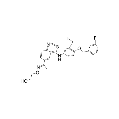 C/C(=N\OCCO)c1ccc2ncnc(Nc3ccc(OCc4cccc(F)c4)c(CI)c3)c2c1